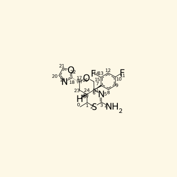 CC1SC(N)=N[C@@]2(c3ccc(F)cc3F)CO[C@@H](c3ncco3)C[C@@H]12